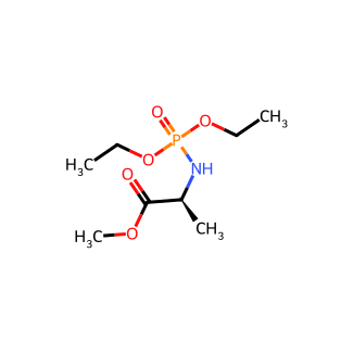 CCOP(=O)(N[C@@H](C)C(=O)OC)OCC